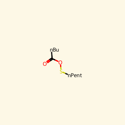 CCCCCSOC(=O)CCCC